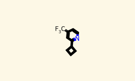 FC(F)(F)c1ccnc(C2CCC2)c1